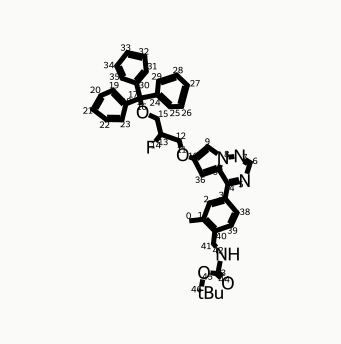 Cc1cc(-c2ncnn3cc(OCC(F)COC(c4ccccc4)(c4ccccc4)c4ccccc4)cc23)ccc1CNC(=O)OC(C)(C)C